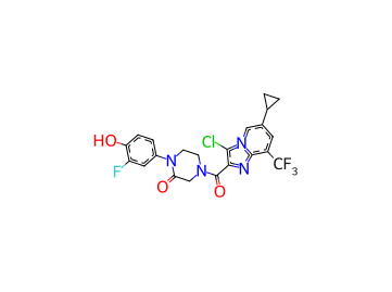 O=C(c1nc2c(C(F)(F)F)cc(C3CC3)cn2c1Cl)N1CCN(c2ccc(O)c(F)c2)C(=O)C1